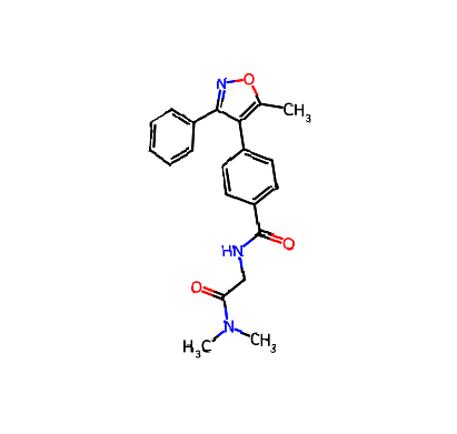 Cc1onc(-c2ccccc2)c1-c1ccc(C(=O)NCC(=O)N(C)C)cc1